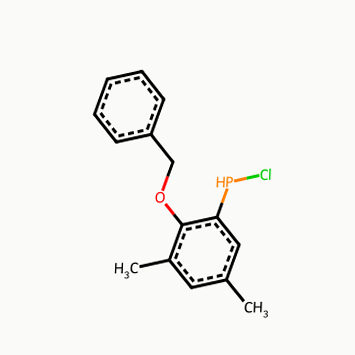 Cc1cc(C)c(OCc2ccccc2)c(PCl)c1